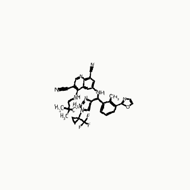 Cc1c(-c2ncco2)cccc1C(Nc1cc(C#N)c2ncc(C#N)c(NCC(C)(C)C)c2c1)c1cn(C2(C(F)(F)F)CC2)nn1